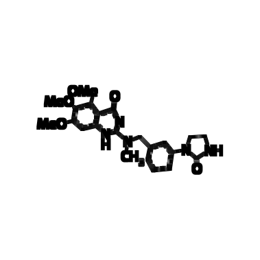 COc1cc2[nH]c(N(C)Cc3cccc(N4CCNC4=O)c3)nc(=O)c2c(OC)c1OC